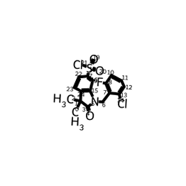 CC1(C)C(=O)N(Cc2c(F)cccc2Cl)c2cc(S(=O)(=O)Cl)ccc21